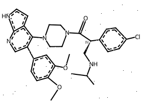 COc1ccc(-c2cnc3[nH]ccc3c2N2CCN(C(=O)[C@H](CNC(C)C)c3ccc(Cl)cc3)CC2)cc1OC